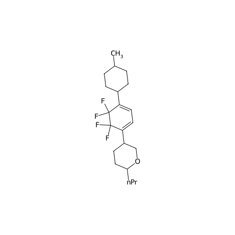 CCCC1CCC(C2=CC=C(C3CCC(C)CC3)C(F)(F)C2(F)F)CO1